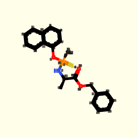 C[C@@H](N[P@@](=S)(Oc1cccc2ccccc12)C(C)(C)C)C(=O)OCc1ccccc1